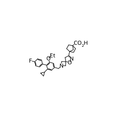 CCOc1cc(CN2CC3(CC(C45CCC(C(=O)O)(CC4)C5)=NO3)C2)cc(C2CC2)c1-c1ccc(F)cc1